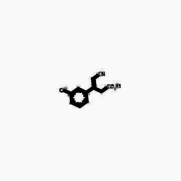 CCOC(=O)CC(=CC#N)c1cccc(Cl)c1